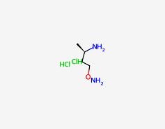 C[C@@H](N)CCON.Cl.Cl